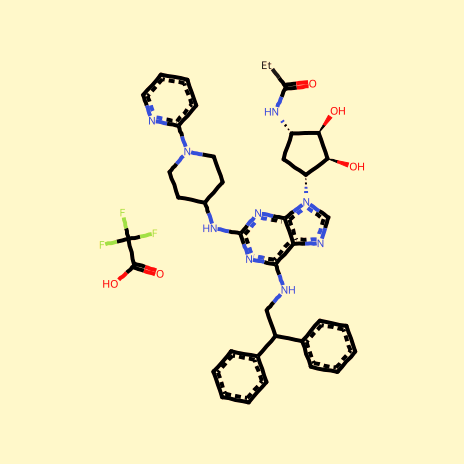 CCC(=O)N[C@H]1C[C@@H](n2cnc3c(NCC(c4ccccc4)c4ccccc4)nc(NC4CCN(c5ccccn5)CC4)nc32)[C@H](O)[C@@H]1O.O=C(O)C(F)(F)F